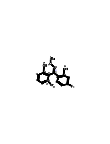 CC(C)(C)O/N=C(/c1ccc(F)cc1O)c1c(O)ccc[n+]1[O-]